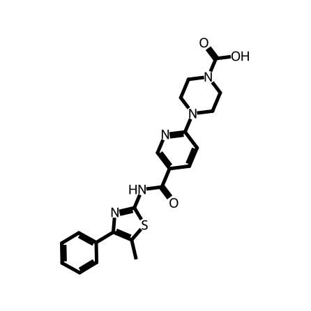 Cc1sc(NC(=O)c2ccc(N3CCN(C(=O)O)CC3)nc2)nc1-c1ccccc1